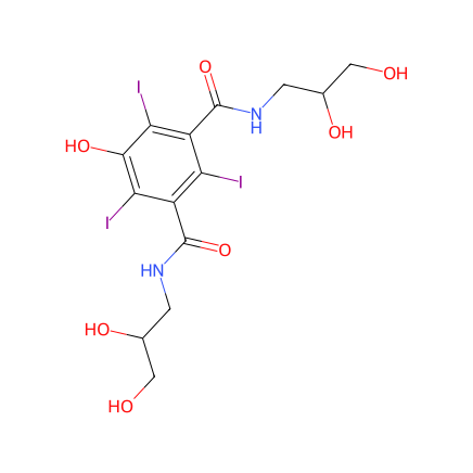 O=C(NCC(O)CO)c1c(I)c(O)c(I)c(C(=O)NCC(O)CO)c1I